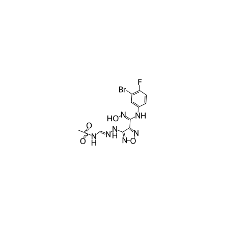 CS(=O)(=O)NC=NNc1nonc1C(=NO)Nc1ccc(F)c(Br)c1